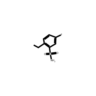 CCc1ccc(F)cc1S(N)(=O)=O